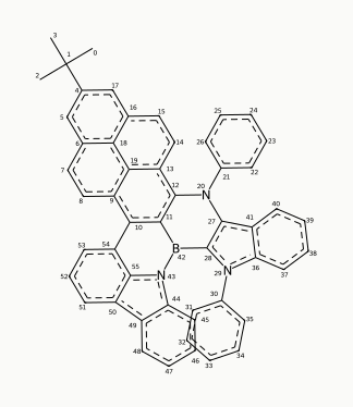 CC(C)(C)c1cc2ccc3c4c5c(c6ccc(c1)c2c36)N(c1ccccc1)c1c(n(-c2ccccc2)c2ccccc12)B5n1c2ccccc2c2cccc-4c21